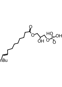 CCCCC=CCCCCCCCC(=O)OCC(O)COP(=O)(O)O